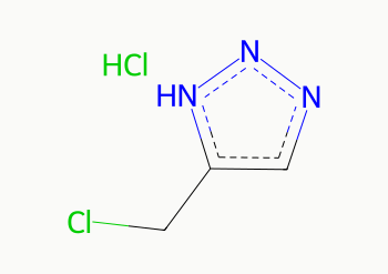 Cl.ClCc1cnn[nH]1